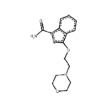 NC(=O)n1nc(OCCN2CCOCC2)c2cc[c]cc21